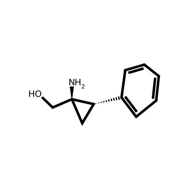 N[C@]1(CO)C[C@H]1c1ccccc1